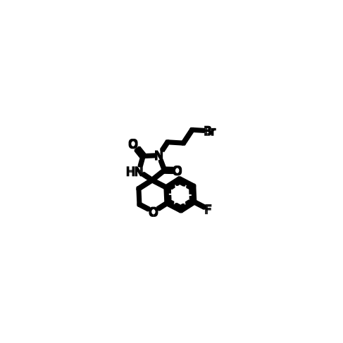 O=C1NC2(CCOc3cc(F)ccc32)C(=O)N1CCCBr